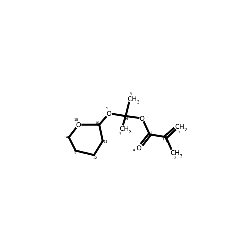 C=C(C)C(=O)OC(C)(C)OC1CCCCO1